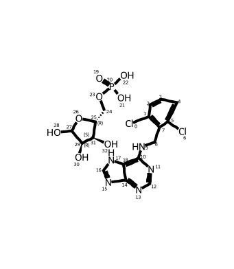 Clc1cccc(Cl)c1CNc1ncnc2nc[nH]c12.O=P(O)(O)OC[C@H]1OC(O)[C@H](O)[C@@H]1O